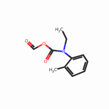 CCN(C(=O)OC=O)c1ccccc1C